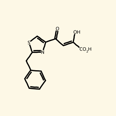 O=C(O)C(O)=CC(=O)c1csc(Cc2ccccc2)n1